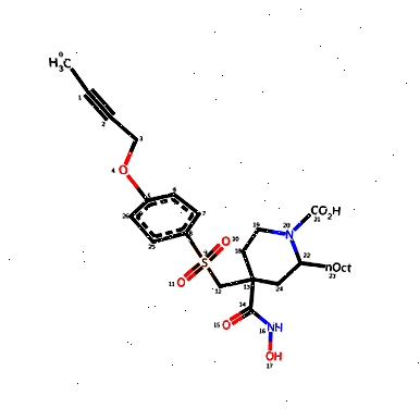 CC#CCOc1ccc(S(=O)(=O)CC2(C(=O)NO)CCN(C(=O)O)C(CCCCCCCC)C2)cc1